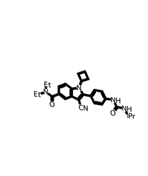 CCN(CC)C(=O)c1ccc2c(c1)c(C#N)c(-c1ccc(NC(=O)NC(C)C)cc1)n2C1CCC1